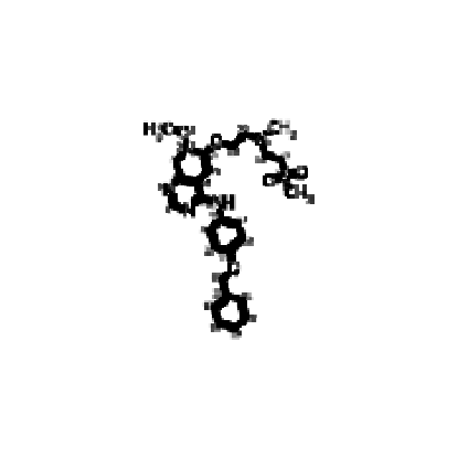 CON1Cc2ncnc(Nc3ccc(OCc4ccccc4)cc3)c2C=C1OCCN(C)CCS(C)(=O)=O